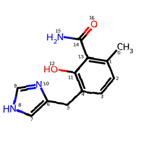 Cc1ccc(Cc2c[nH]cn2)c(O)c1C(N)=O